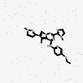 CCOc1ccc(Nc2nc(-c3nccn3C)nn3cc(-c4ccn(C)n4)c(C)c23)nc1